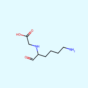 NCCCCC([C]=O)NCC(=O)O